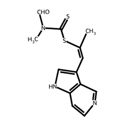 C/C(=C/c1c[nH]c2ccncc12)SC(=S)N(C)C=O